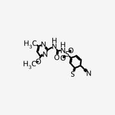 COc1cc(C)nc(NC(=O)NS(=O)(=O)C2=CC(=S)C(C#N)C=C2)n1